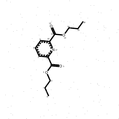 CCCOC(=O)c1cccc(C(=O)OCCC)n1